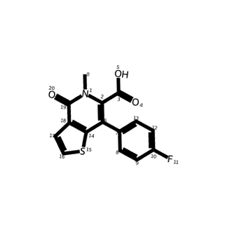 Cn1c(C(=O)O)c(-c2ccc(F)cc2)c2sccc2c1=O